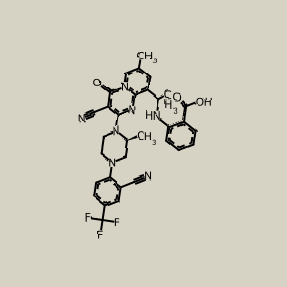 Cc1cc(C(C)Nc2ccccc2C(=O)O)c2nc(N3CCN(c4ccc(C(F)(F)F)cc4C#N)C[C@@H]3C)c(C#N)c(=O)n2c1